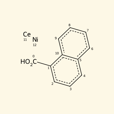 O=C(O)c1cccc2ccccc12.[Ce].[Ni]